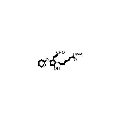 COC(=O)CCC/C=C\C[C@H]1[C@H](C=CC=O)[C@@H](OC2CCCCO2)C[C@H]1O